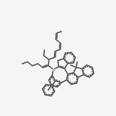 C\C=C/C=C\C=C\C(CC)/C(=C\CCCC)N1C2=C(c3ccccc3C2)c2c(ccc3c2C(C)(C)c2ccccc2-3)-c2cc(C)cc1c2-c1ccccc1